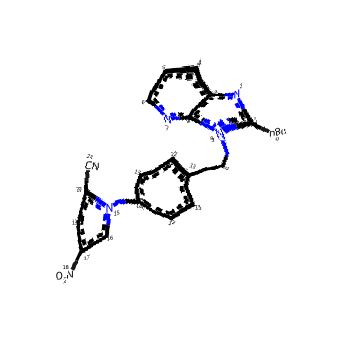 CCCCc1nc2cccnc2n1Cc1ccc(-n2cc([N+](=O)[O-])cc2C#N)cc1